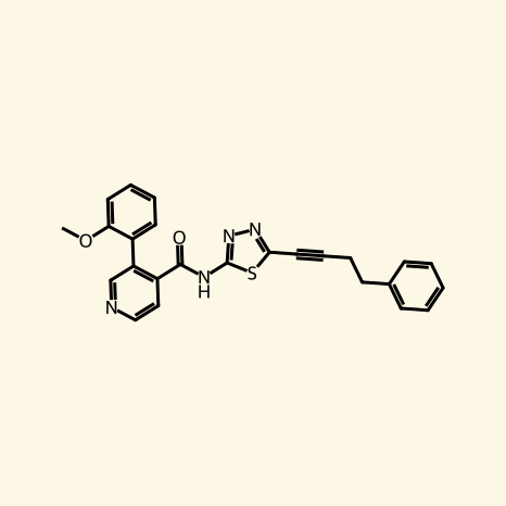 COc1ccccc1-c1cnccc1C(=O)Nc1nnc(C#CCCc2ccccc2)s1